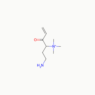 C=CC(=O)C(CCN)[N+](C)(C)C